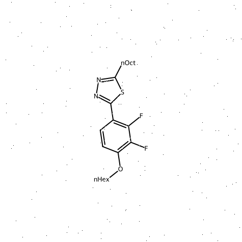 CCCCCCCCc1nnc(-c2ccc(OCCCCCC)c(F)c2F)s1